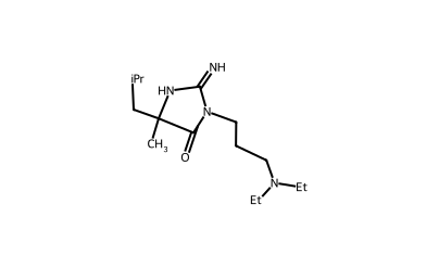 CCN(CC)CCCN1C(=N)NC(C)(CC(C)C)C1=O